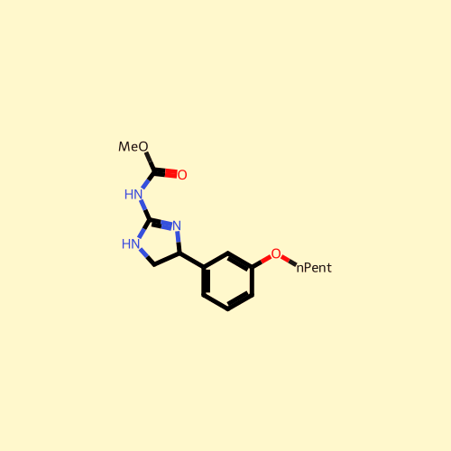 CCCCCOc1cccc(C2CNC(NC(=O)OC)=N2)c1